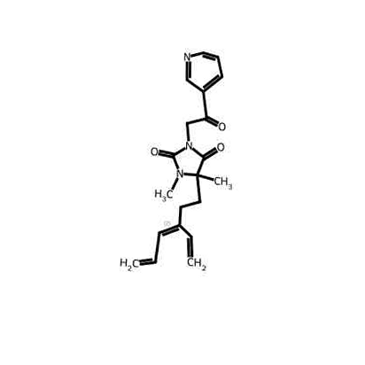 C=C/C=C(\C=C)CCC1(C)C(=O)N(CC(=O)c2cccnc2)C(=O)N1C